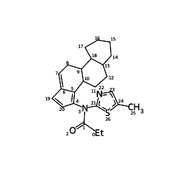 CCC(=O)N(C1=C2C(=CCC3C2CCC2CCCCC23)C=C1)c1ncc(C)s1